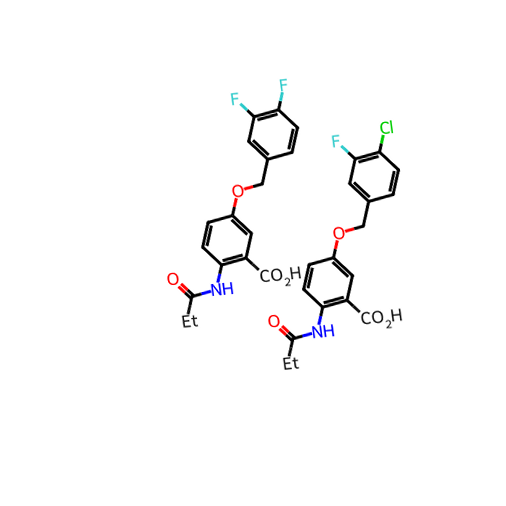 CCC(=O)Nc1ccc(OCc2ccc(Cl)c(F)c2)cc1C(=O)O.CCC(=O)Nc1ccc(OCc2ccc(F)c(F)c2)cc1C(=O)O